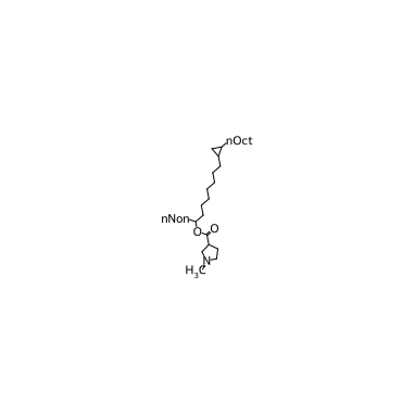 CCCCCCCCCC(CCCCCCCC1CC1CCCCCCCC)OC(=O)C1CCN(C)C1